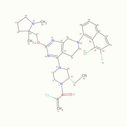 C=C(F)C(=O)N1CCN(c2nc(OCC3(C)CCCN3C)nc3c2CCN(c2cccc4ccc(F)c(Cl)c24)C3)C[C@@H]1CC#N